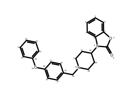 O=c1oc2ccccc2n1C1CCN(Cc2ccc(Oc3ccccc3)cc2)CC1